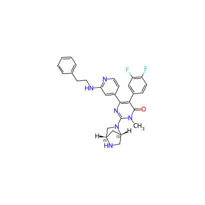 Cn1c(N2C[C@@H]3C[C@H]2CN3)nc(-c2ccnc(NCCc3ccccc3)c2)c(-c2ccc(F)c(F)c2)c1=O